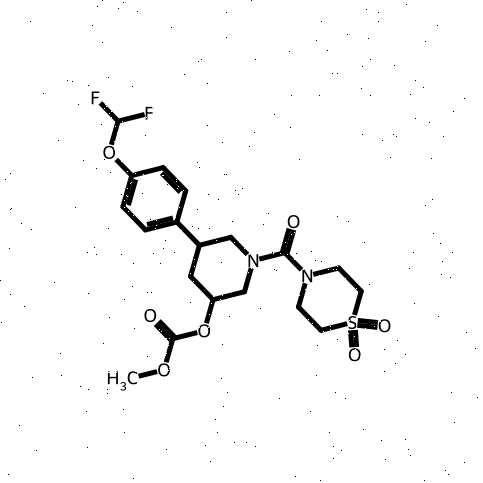 COC(=O)OC1CC(c2ccc(OC(F)F)cc2)CN(C(=O)N2CCS(=O)(=O)CC2)C1